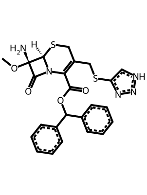 CO[C@@]1(N)C(=O)N2C(C(=O)OC(c3ccccc3)c3ccccc3)=C(CSc3c[nH]nn3)CS[C@@H]21